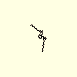 CCCCCCCCCN(C)Cc1ccccc1CN(C)CCCCCCCCC